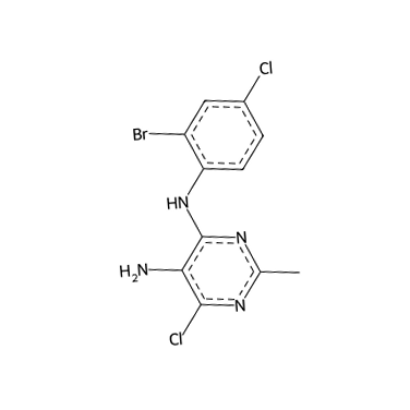 Cc1nc(Cl)c(N)c(Nc2ccc(Cl)cc2Br)n1